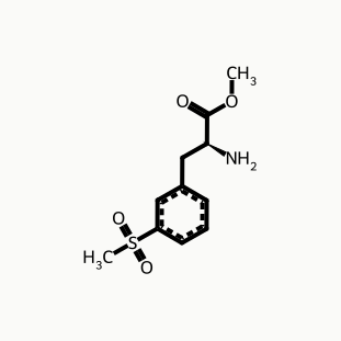 COC(=O)[C@@H](N)Cc1cccc(S(C)(=O)=O)c1